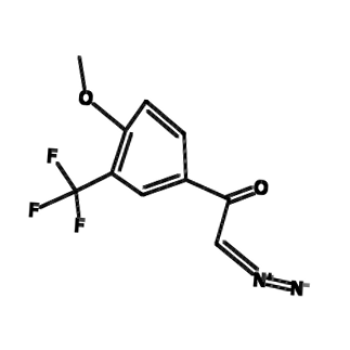 COc1ccc(C(=O)C=[N+]=[N-])cc1C(F)(F)F